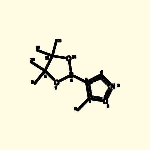 Cc1oncc1B1OC(C)(C)C(C)(C)O1